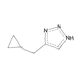 c1[nH]nnc1C[C]1CC1